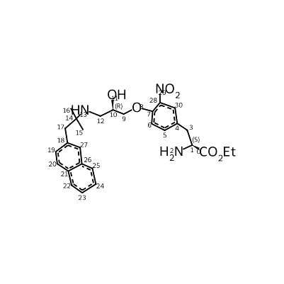 CCOC(=O)[C@@H](N)Cc1ccc(OC[C@H](O)CNC(C)(C)Cc2ccc3ccccc3c2)c([N+](=O)[O-])c1